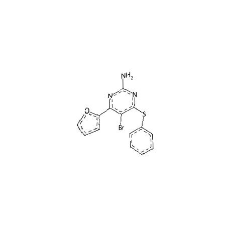 Nc1nc(Sc2ccccc2)c(Br)c(-c2ccco2)n1